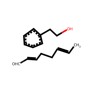 CC=CCCC=CC=O.OCCc1ccccc1